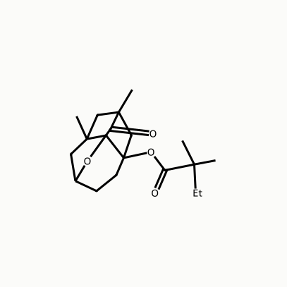 CCC(C)(C)C(=O)OC12CCC3CC(C)(C1)CC(C)(C2)C(=O)O3